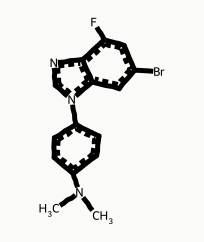 CN(C)c1ccc(-n2cnc3c(F)cc(Br)cc32)cc1